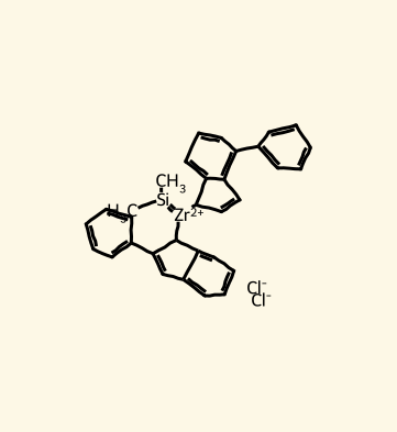 C[Si](C)=[Zr+2]([CH]1C=Cc2c(-c3ccccc3)cccc21)[CH]1C(c2ccccc2)=Cc2ccccc21.[Cl-].[Cl-]